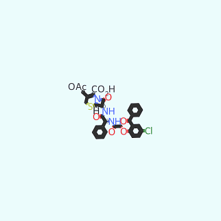 CC(=O)OCC1=C(C(=O)O)N2C(=O)[C@@H](NC(=O)[C@@H](NC(=O)COc3ccc(Cl)cc3C(=O)c3ccccc3)c3ccccc3)[C@H]2SC1